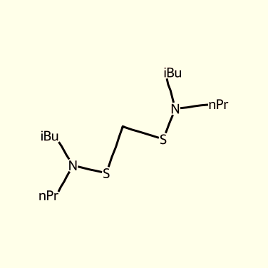 CCCN(SCSN(CCC)C(C)CC)C(C)CC